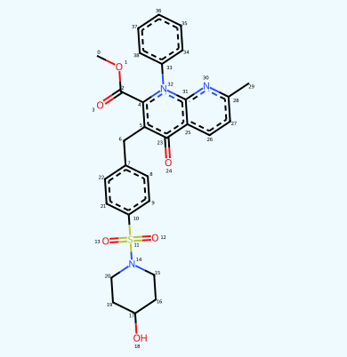 COC(=O)c1c(Cc2ccc(S(=O)(=O)N3CCC(O)CC3)cc2)c(=O)c2ccc(C)nc2n1-c1ccccc1